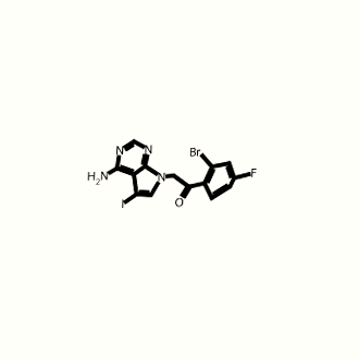 Nc1ncnc2c1c(I)cn2CC(=O)c1ccc(F)cc1Br